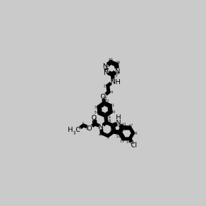 CCOC(=O)N1CCc2c([nH]c3c2=CC(Cl)CC=3)C1c1ccc(OCCNc2nccnn2)cc1